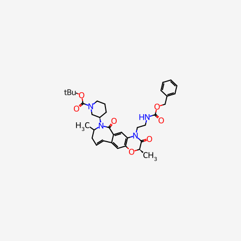 CC1C/C=C/c2cc3c(cc2C(=O)N1[C@@H]1CCCN(C(=O)OC(C)(C)C)C1)N(CCNC(=O)OCc1ccccc1)C(=O)[C@@H](C)O3